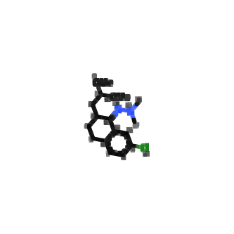 COC(CC1CCc2ccc(Cl)cc2C1=NN(C)C)OC